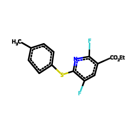 CCOC(=O)c1cc(F)c(Sc2ccc(C)cc2)nc1F